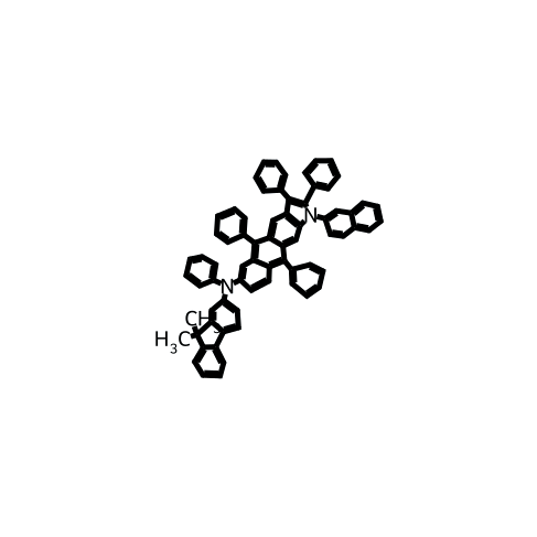 CC1(C)c2ccccc2-c2ccc(N(c3ccccc3)c3ccc4c(-c5ccccc5)c5cc6c(cc5c(-c5ccccc5)c4c3)c(-c3ccccc3)c(-c3ccccc3)n6-c3ccc4ccccc4c3)cc21